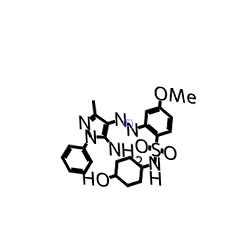 COc1ccc(S(=O)(=O)NC2CCC(O)CC2)c(/N=N/c2c(C)nn(-c3ccccc3)c2N)c1